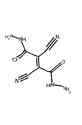 N#C/C(C(=O)NN)=C(/C#N)C(=O)NN